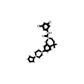 CC1(C)CCN(C(=O)Nc2cc(Cl)cc(Cl)c2)Cc2cc(N3CCN(C4CCCC4)CC3)ccc21